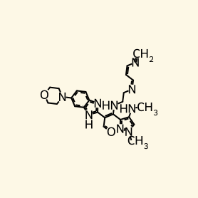 C=N/C=C\C=N/CCN/C(=C(/C=O)c1nc2ccc(N3CCOCC3)cc2[nH]1)c1nn(C)cc1NC